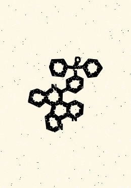 O=P(c1ccccc1)(c1ccccc1)c1cccc(-c2nc3ccccc3c3c4cccnc4c4ncccc4c23)c1